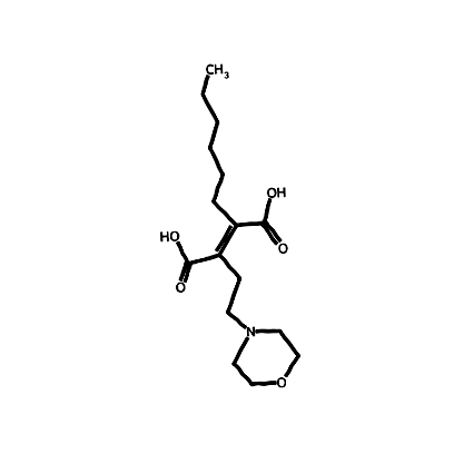 CCCCCCC(C(=O)O)=C(CCN1CCOCC1)C(=O)O